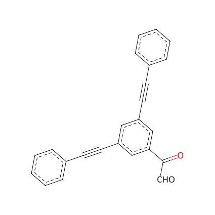 O=CC(=O)c1cc(C#Cc2ccccc2)cc(C#Cc2ccccc2)c1